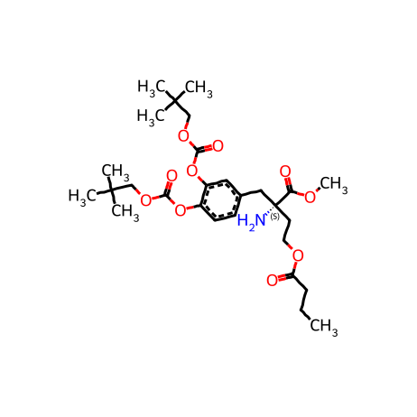 CCCC(=O)OCC[C@@](N)(Cc1ccc(OC(=O)OCC(C)(C)C)c(OC(=O)OCC(C)(C)C)c1)C(=O)OC